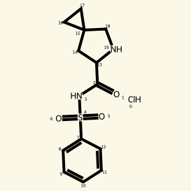 Cl.O=C(NS(=O)(=O)c1ccccc1)C1CC2(CC2)CN1